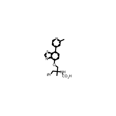 Cc1cc(-c2ccc(OCC(C)(CC(C)C)NC(=O)O)c3ncsc23)ccn1